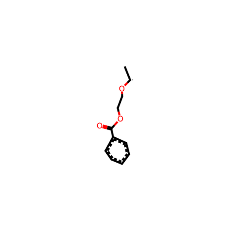 C[CH]OCCOC(=O)c1ccccc1